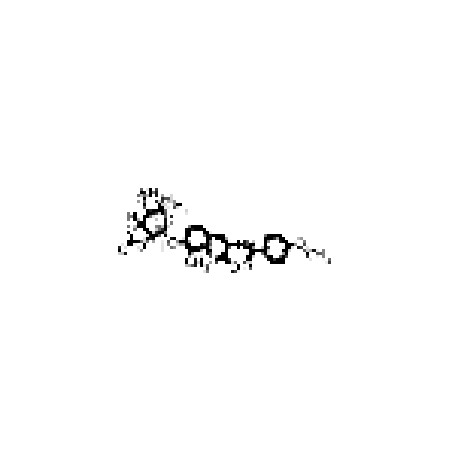 COc1ccc(C(=O)Nc2cc3ccc(O[C@@H]4OC(C)(C)[C@H](OC)[C@H]5OC(=O)O[C@@H]45)c(C)c3oc2=O)cc1